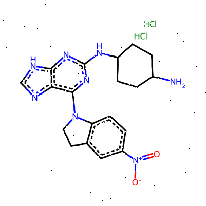 Cl.Cl.NC1CCC(Nc2nc(N3CCc4cc([N+](=O)[O-])ccc43)c3nc[nH]c3n2)CC1